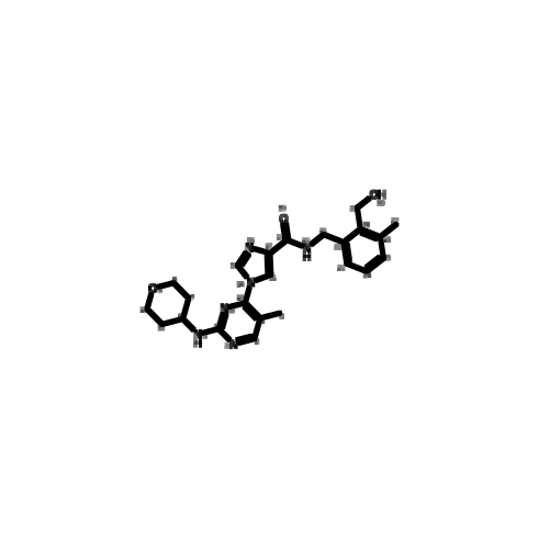 Cc1cnc(NC2CCOCC2)nc1-n1cnc(C(=O)NCc2cccc(C)c2CO)c1